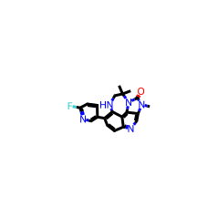 Cn1c(=O)n2c3c4c(c(-c5ccc(F)nc5)ccc4ncc31)NCC2(C)C